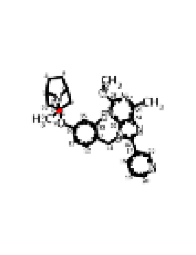 CCN1C2CCC1CC(Oc1ccc(Cn3c(-c4cccnc4)nc4c(C)nc(OC)nc43)c(F)c1)C2